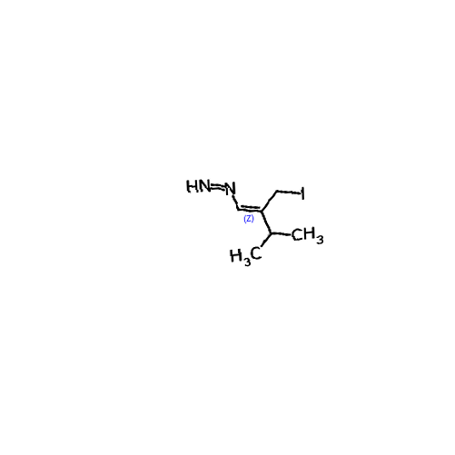 CC(C)/C(=C/N=N)CI